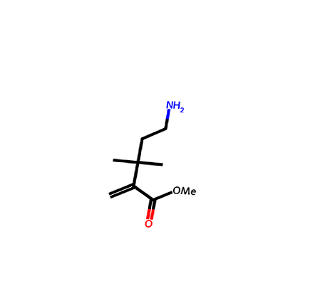 C=C(C(=O)OC)C(C)(C)CCN